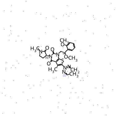 C=NN(/N=C\C)c1sc2c(c1C)c(=O)n([C@H]1CCN(C)C1=O)c(=O)n2C[C@H](OC)c1ccccc1OC